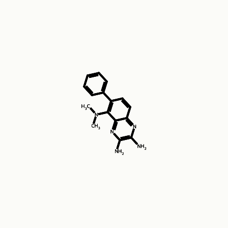 CN(C)c1c(-c2ccccc2)ccc2nc(N)c(N)nc12